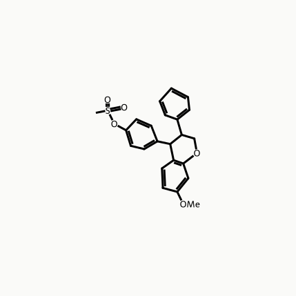 COc1ccc2c(c1)OCC(c1ccccc1)C2c1ccc(OS(C)(=O)=O)cc1